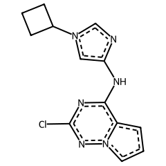 Clc1nc(Nc2cn(C3CCC3)cn2)c2cccn2n1